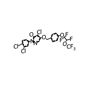 O=c1c(Cl)c(OCc2ccc(OC(F)(F)C(F)OC(F)(F)F)cc2)cnn1-c1ccc(Cl)c(Cl)c1